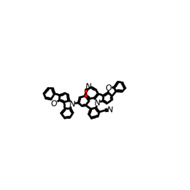 N#Cc1cccc(C2=CC(n3c4ccccc4c4c5oc6ccccc6c5ccc43)=CC(C#N)C2)c1-n1c2c(c3c4oc5ccccc5c4ccc31)C=CCC#C2